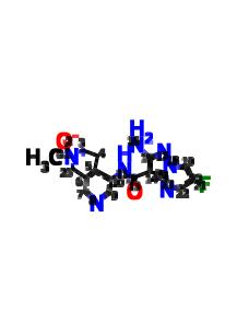 C[N+]1([O-])CCc2c(cncc2NC(=O)c2c(N)nn3cc(F)cnc23)C1